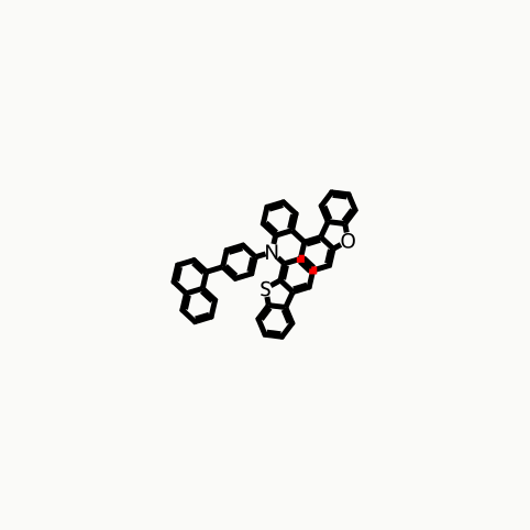 c1ccc(N(c2ccc(-c3cccc4ccccc34)cc2)c2cccc3c2sc2ccccc23)c(-c2cccc3oc4ccccc4c23)c1